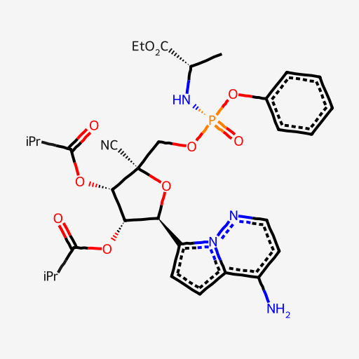 CCOC(=O)[C@H](C)N[P@](=O)(OC[C@@]1(C#N)O[C@@H](c2ccc3c(N)ccnn23)[C@H](OC(=O)C(C)C)[C@@H]1OC(=O)C(C)C)Oc1ccccc1